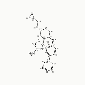 NC1=N[C@]2(CO1)c1cc(-c3cncnc3)ccc1OC1CC[C@@H](OCC3CC3)C[C@@H]12